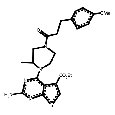 CCOC(=O)c1csc2nc(N)nc(N3CCN(C(=O)CCc4ccc(OC)cc4)CC3C)c12